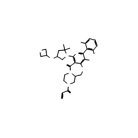 C=CC(=O)N1CCN2C(=O)c3c(N4CC(OC5COC5)CC4(C)C)nc(-c4c(O)cccc4F)c(Cl)c3OCC2C1